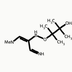 CN/C=C(/BOC(C)(C)C(C)(C)O)C=N